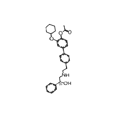 CC(=O)Oc1ccc(-c2ccc(CCNC[C@@H](O)c3ccccc3)cc2)cc1OC1CCCCC1